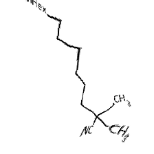 CCCCCCCCCCCCC(C)(C)C#N